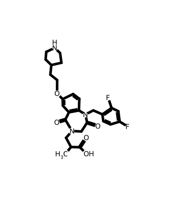 CC(CN1CC(=O)N(Cc2ccc(F)cc2F)c2ccc(OCCC3CCNCC3)cc2C1=O)C(=O)O